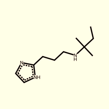 CCC(C)(C)NCCCc1ncc[nH]1